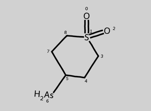 O=S1(=O)CCC([AsH2])CC1